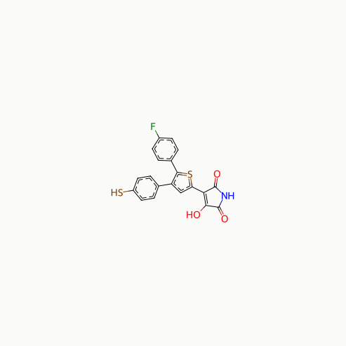 O=C1NC(=O)C(c2cc(-c3ccc(S)cc3)c(-c3ccc(F)cc3)s2)=C1O